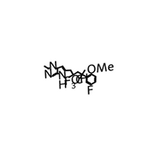 COc1ccc(F)cc1C(C)(CC(C)(O)Cc1cc2nc(C)ncc2[nH]1)C(F)(F)F